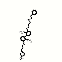 Cc1c(OCCCNCCc2ccncc2)cccc1-c1cccc(OCCCN2CCC(O)C2)c1C